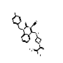 C=C(C)C(=O)N1CC(Nc2c(C#N)c(=O)n(Cc3ccc(F)cc3)c3ccccc23)C1